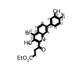 CCOC(=O)CCC(=O)c1nc2cc(-c3ccc(F)c(C)c3)ccc2c(Br)c1O